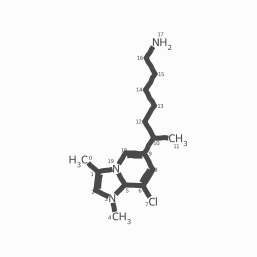 CC1=CN(C)C2C(Cl)=CC(C(C)CCCCCN)=CN12